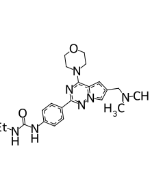 CCNC(=O)Nc1ccc(-c2nc(N3CCOCC3)c3cc(CN(C)C)cn3n2)cc1